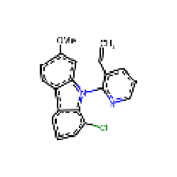 C=Cc1cccnc1-n1c2cc(OC)ccc2c2cccc(Cl)c21